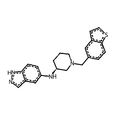 c1cc2cc(CN3CCC[C@H](Nc4ccc5[nH]ncc5c4)C3)ccc2s1